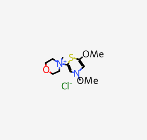 COC1=CN(OC)C=C([N+]2(C)CCOCC2)S1.[Cl-]